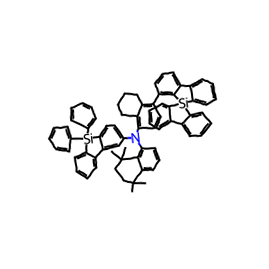 CC1(C)CCC(C)(C)c2c(N(c3ccc4c(c3)-c3ccccc3[Si]4(c3ccccc3)c3ccccc3)c3ccc(-c4cccc5c4[Si]4(c6ccccc6-c6ccccc64)c4ccccc4-5)c4c3CCCC4)cccc21